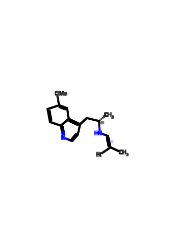 CC/C(C)=C\N[C@@H](C)Cc1ccnc2ccc(OC)cc12